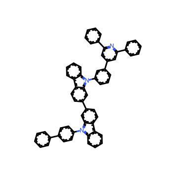 c1ccc(-c2ccc(-n3c4ccccc4c4ccc(-c5ccc6c7ccccc7n(-c7cccc(-c8cc(-c9ccccc9)nc(-c9ccccc9)c8)c7)c6c5)cc43)cc2)cc1